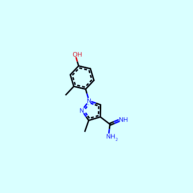 Cc1cc(O)ccc1-n1cc(C(=N)N)c(C)n1